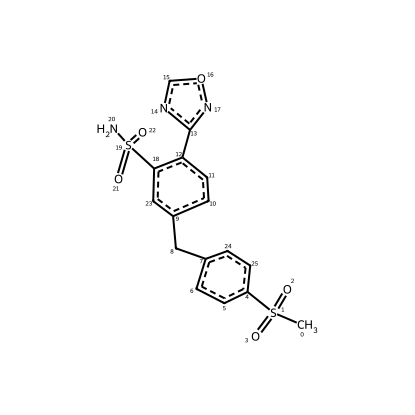 CS(=O)(=O)c1ccc(Cc2ccc(-c3ncon3)c(S(N)(=O)=O)c2)cc1